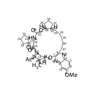 COc1ccc2nc3c(nc2c1)O[C@H]1CN(C(=O)[C@H](C2(C)CCCC2)NC(=O)O[C@@H]2CCC[C@H]2CCCCC3)[C@H](C(C)=O)[C@@H]1C